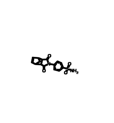 NS(=O)(=O)c1ccc(N2C(=O)C3C4C=CC(C4)C3C2=O)cc1